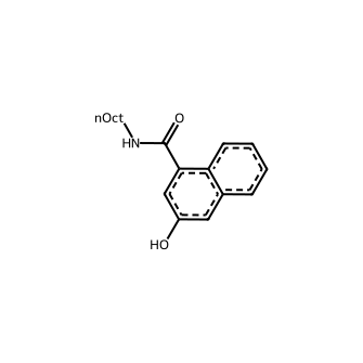 CCCCCCCCNC(=O)c1cc(O)cc2ccccc12